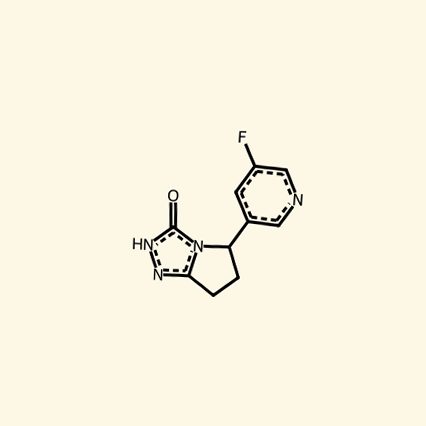 O=c1[nH]nc2n1C(c1cncc(F)c1)CC2